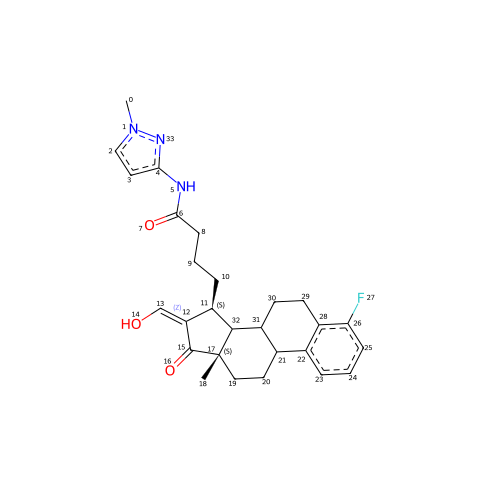 Cn1ccc(NC(=O)CCC[C@@H]2/C(=C/O)C(=O)[C@@]3(C)CCC4c5cccc(F)c5CCC4C23)n1